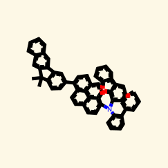 CC1(C)c2ccc(-c3ccc4ccc5c(N(c6ccccc6-c6ccccc6)c6cccc7c6oc6ccccc67)ccc6ccc3c4c65)cc2-c2cc3ccccc3cc21